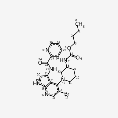 CCCCOC(=O)NC1CCCN(c2c(Br)cnc3[nH]cc(NC(=O)c4ccccn4)c23)C1